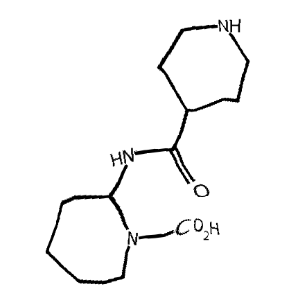 O=C(NC1CCCCN1C(=O)O)C1CCNCC1